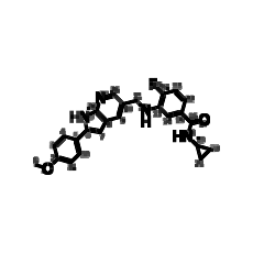 COc1ccc(-c2cc3cc(CNc4cc(C(=O)NC5CC5)ccc4F)cnc3[nH]2)cc1